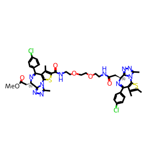 COC(=O)C[C@@H]1N=C(c2ccc(Cl)cc2)c2c(sc(C(=O)NCCOCCOCCNC(=O)C[C@@H]3N=C(c4ccc(Cl)cc4)c4c(sc(C)c4C)-n4c(C)nnc43)c2C)-n2c(C)nnc21